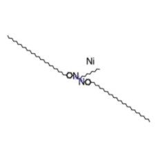 CCCCCCCCCCCCCCCCCCCCCCCCCCc1ccc(/N=C/C(CCCCCCCC)=N/c2ccc(CCCCCCCCCCCCCCCCCCCCCCCCCC)cc2)cc1.[Ni]